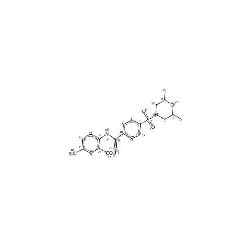 CC1CN(S(=O)(=O)c2ccc(C(=O)Nc3ccc(C#N)cc3C(=O)O)cc2)CC(C)O1